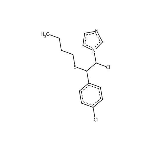 CCCCSC(c1ccc(Cl)cc1)C(Cl)n1ccnc1